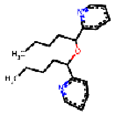 CCCCC(OC(CCCC)c1ccccn1)c1ccccn1